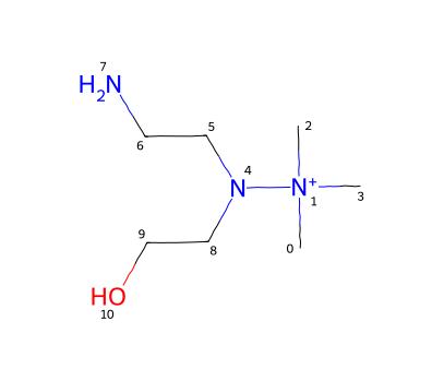 C[N+](C)(C)N(CCN)CCO